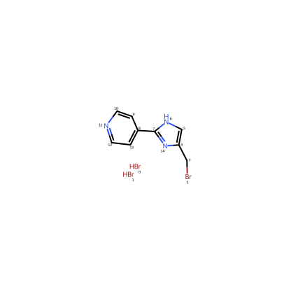 Br.Br.BrCc1c[nH]c(-c2ccncc2)n1